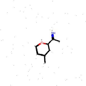 CC(=N)C1CC(C)CCO1